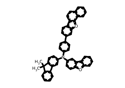 CC1(C)c2ccccc2-c2cc(N(c3ccc(-c4ccc5c(c4)oc4c6ccccc6ccc54)cc3)c3ccc4oc5ccccc5c4c3)ccc21